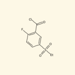 CCS(=O)(=O)c1ccc(F)c(C(=O)Cl)c1